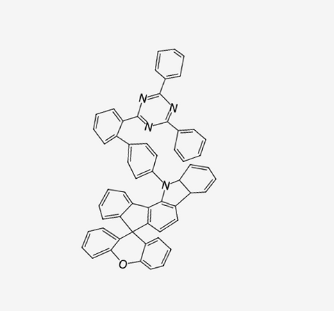 C1=CC2c3ccc4c(c3N(c3ccc(-c5ccccc5-c5nc(-c6ccccc6)nc(-c6ccccc6)n5)cc3)C2C=C1)-c1ccccc1C41c2ccccc2Oc2ccccc21